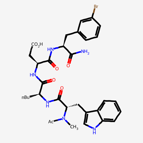 CCCC[C@H](NC(=O)[C@H](Cc1c[nH]c2ccccc12)N(C)C(C)=O)C(=O)N[C@@H](CC(=O)O)C(=O)N[C@@H](Cc1cccc(Br)c1)C(N)=O